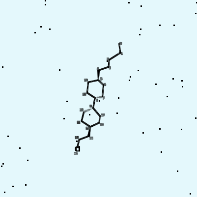 CCCCC[C@H]1CC[C@H]([C@H]2CC[C@H](CCCl)CC2)CC1